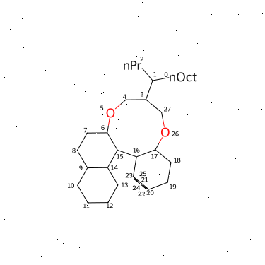 CCCCCCCCC(CCC)C1COC2CCC3CCCCC3C2C2C(CCC3CCCCC32)OC1